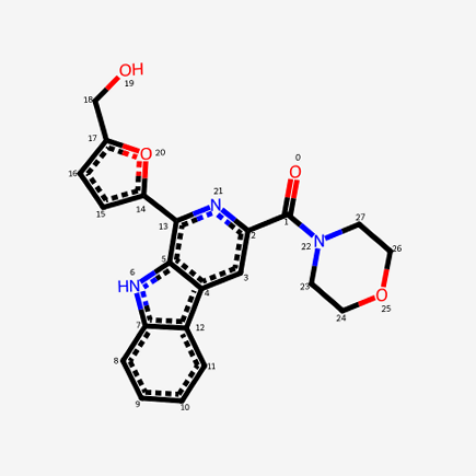 O=C(c1cc2c([nH]c3ccccc32)c(-c2ccc(CO)o2)n1)N1CCOCC1